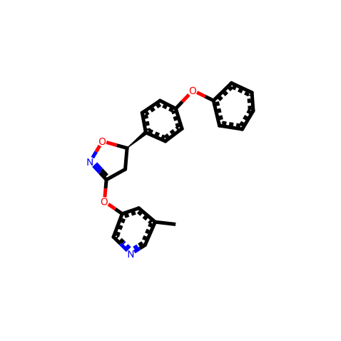 Cc1cncc(OC2=NO[C@@H](c3ccc(Oc4ccccc4)cc3)C2)c1